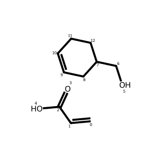 C=CC(=O)O.OCC1CC=CCC1